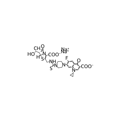 C[C@@H](O)[C@@H]1C(=O)N2C(C(=O)[O-])=C(CNC(=S)N3CCN(c4cc5c(cc4F)c(=O)c(C(=O)[O-])cn5C4CC4)CC3)S[C@H]12.[Na+].[Na+]